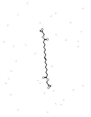 O=C(CCCCCC/C=C/CCCCCCC(=O)OCC1CO1)OCC1CO1